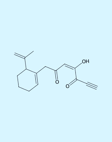 C#CC(=O)/C(O)=C\C(=O)CC1=CCCCC1C(=C)C